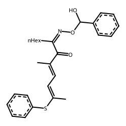 CCCCCC/C(=N/OC(O)c1ccccc1)C(=O)/C(C)=C/C=C(\C)Sc1ccccc1